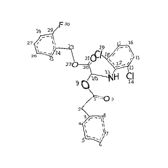 O=C(Cc1ccccc1)OC(Nc1c(Cl)cccc1Cl)C(=O)OCc1ccccc1F